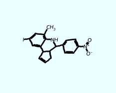 Cc1cc(I)cc2c1NC(c1ccc([N+](=O)[O-])cc1)C1CC=CC21